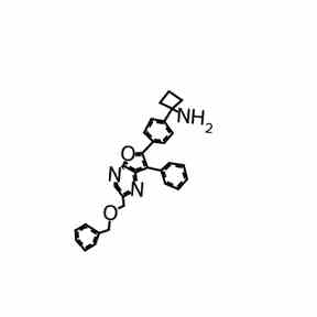 NC1(c2ccc(-c3oc4ncc(COCc5ccccc5)nc4c3-c3ccccc3)cc2)CCC1